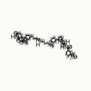 Cc1ccc(C(=O)NCC(=O)Nc2nc(-c3cccc(N(C)CCCCCCNCCCc4ccc5c(c4)n(C)c(=O)n5C4CCC(=O)NC4=O)c3)cs2)cc1P(C)(C)=O